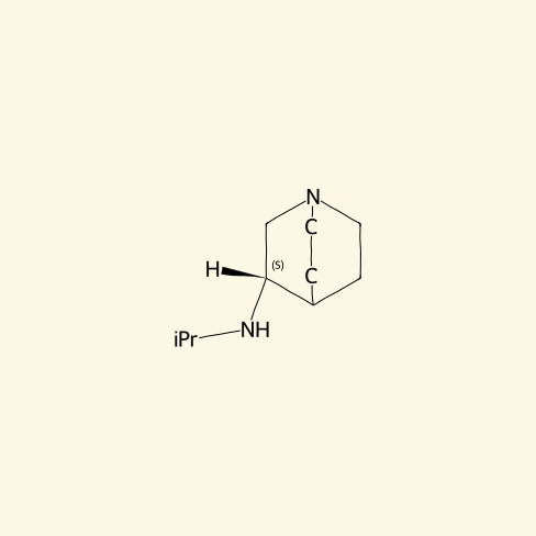 CC(C)N[C@@H]1CN2CCC1CC2